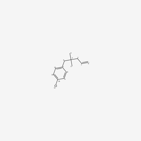 [CH]=CCC(C)(C)Cc1ccc(Cl)cc1